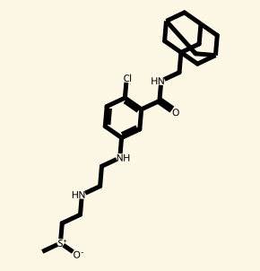 C[S+]([O-])CCNCCNc1ccc(Cl)c(C(=O)NCC23CC4CC(CC(C4)C2)C3)c1